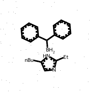 BC(c1ccccc1)c1ccccc1.CCCCc1cnc(CC)[nH]1